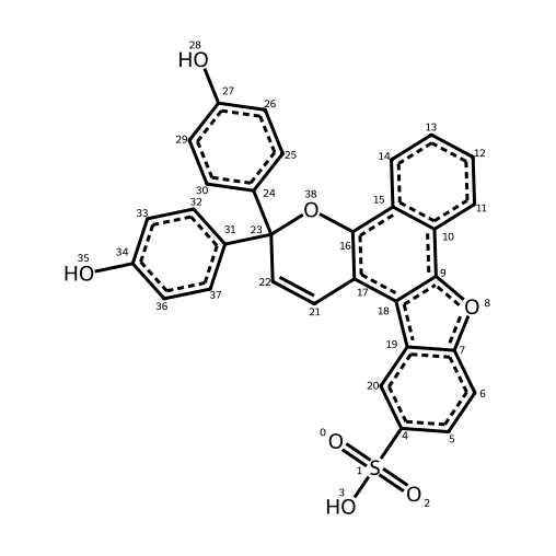 O=S(=O)(O)c1ccc2oc3c4ccccc4c4c(c3c2c1)C=CC(c1ccc(O)cc1)(c1ccc(O)cc1)O4